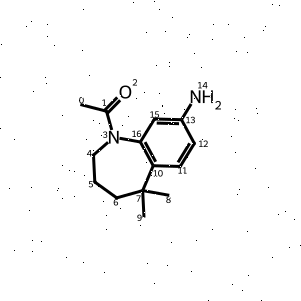 CC(=O)N1CCCC(C)(C)c2ccc(N)cc21